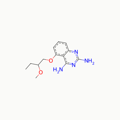 CCC(COc1cccc2nc(N)nc(N)c12)OC